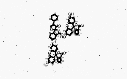 O=C1OC2(OC=C(c3ccccc3)C2=O)c2ccccc21.O=C1OC2(c3ccc(O)cc3Oc3cc(O)ccc32)c2ccccc21.O=C1OC2(c3ccc(O)cc3Oc3cc(O)ccc32)c2ccccc21